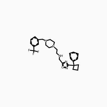 FC(F)(F)c1cccc(CN2CCN(CCNCc3nc(C4(c5ccccc5)CCC4)no3)CC2)c1